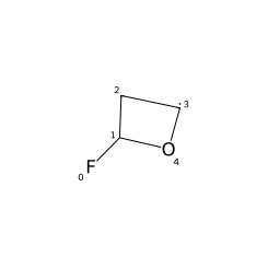 FC1C[CH]O1